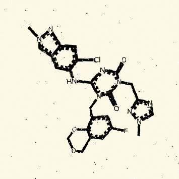 Cn1cnc(Cn2c(=O)nc(Nc3cc4cn(C)nc4cc3Cl)n(Cc3cc(F)cc4c3OCOC4)c2=O)n1